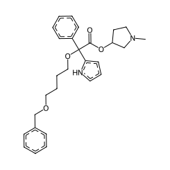 CN1CCC(OC(=O)C(OCCCCOCc2ccccc2)(c2ccccc2)c2ccc[nH]2)C1